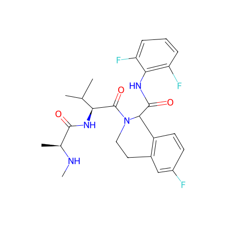 CN[C@@H](C)C(=O)N[C@H](C(=O)N1CCc2cc(F)ccc2C1C(=O)Nc1c(F)cccc1F)C(C)C